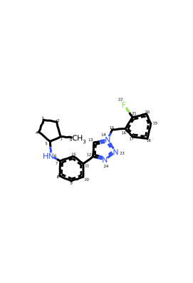 CC1[CH]CCC1Nc1cccc(-c2cn(Cc3ccccc3F)nn2)c1